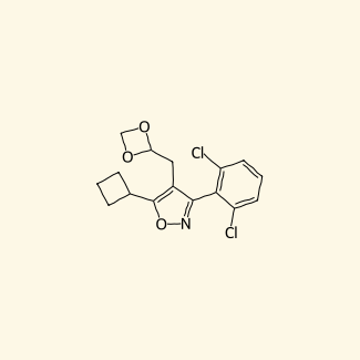 Clc1cccc(Cl)c1-c1noc(C2CCC2)c1CC1OCO1